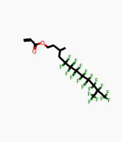 C=CC(=O)OCCC(C)CC(F)(F)C(F)(F)C(F)(F)C(F)(F)C(F)(F)C(F)(F)C(F)(C(F)(F)F)C(F)(F)F